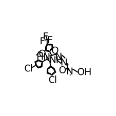 CCOc1cc(C(F)(F)F)ccc1C1(C(=O)N2CCN(CC(=O)N(C)CCO)CC2)NC(c2ccc(Cl)cc2)C(c2ccc(Cl)cc2)N1